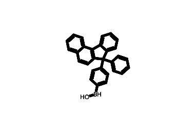 OBc1ccc(C2(c3ccccc3)c3ccccc3-c3c2ccc2ccccc32)cc1